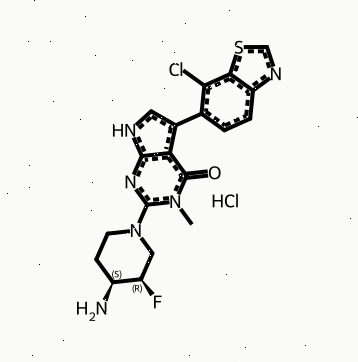 Cl.Cn1c(N2CC[C@H](N)[C@H](F)C2)nc2[nH]cc(-c3ccc4ncsc4c3Cl)c2c1=O